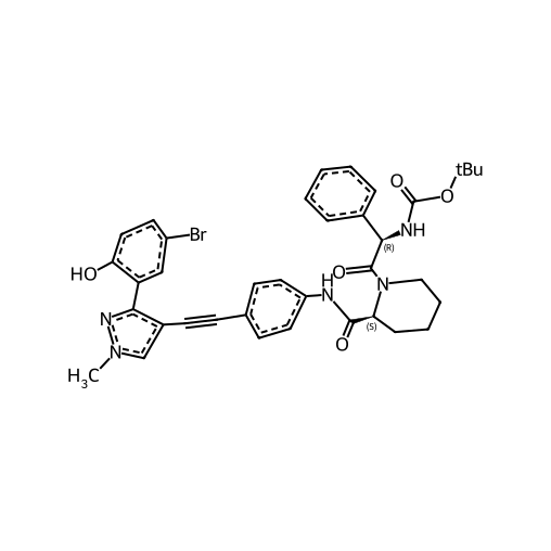 Cn1cc(C#Cc2ccc(NC(=O)[C@@H]3CCCCN3C(=O)[C@H](NC(=O)OC(C)(C)C)c3ccccc3)cc2)c(-c2cc(Br)ccc2O)n1